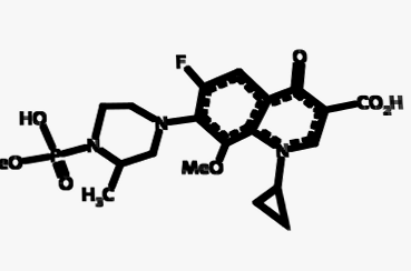 COc1c(N2CCN(P(=O)(O)OC)C(C)C2)c(F)cc2c(=O)c(C(=O)O)cn(C3CC3)c12